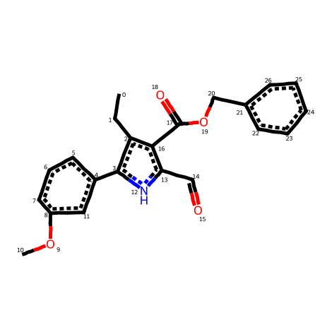 CCc1c(-c2cccc(OC)c2)[nH]c(C=O)c1C(=O)OCc1ccccc1